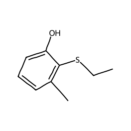 CCSc1c(C)cccc1O